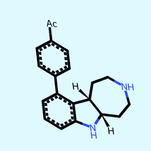 CC(=O)c1ccc(-c2cccc3c2[C@@H]2CCNCC[C@@H]2N3)cc1